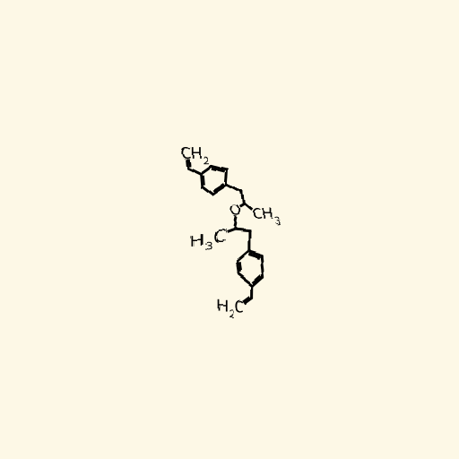 C=Cc1ccc(CC(C)OC(C)Cc2ccc(C=C)cc2)cc1